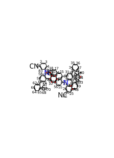 [C-]#[N+]c1cccc(N(C2=C3C=CC4=C5C(=CC=C(C=C2)C35)C(N(c2cccc(C#N)c2)c2ccc(-c3ccccc3[Si](C)(C)C)cc2-c2ccccc2[Si](C)(C)C)C=C4)c2ccc(-c3ccccc3[Si](C)(C)C)cc2-c2ccccc2[Si](C)(C)C)c1